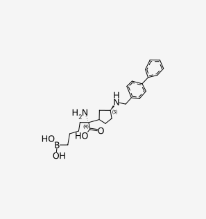 N[C@@](CCCCB(O)O)(C(=O)O)C1CC[C@H](NCc2ccc(-c3ccccc3)cc2)C1